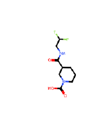 O=C(NCC(F)F)C1CCCN(C(=O)O)C1